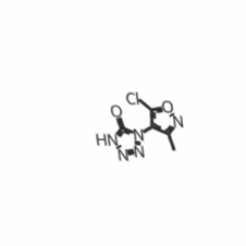 Cc1noc(Cl)c1-n1nn[nH]c1=O